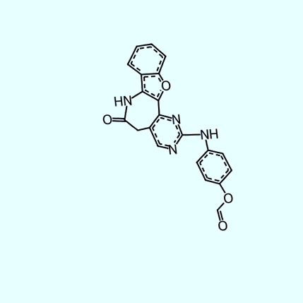 O=COc1ccc(Nc2ncc3c(n2)-c2oc4ccccc4c2NC(=O)C3)cc1